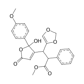 COC(=O)C(c1ccccc1)C(C1=COCO1)C1=CC(=O)OC1(O)c1ccc(OC)cc1